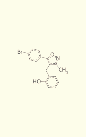 Cc1noc(-c2ccc(Br)cc2)c1Cc1ccccc1O